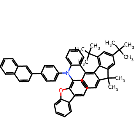 CC(C)(C)c1cc(C(C)(C)C)c2c(c1)C(C)(C)c1cccc(-c3ccccc3N(c3ccc(-c4ccc5ccccc5c4)cc3)c3cccc4c3oc3ccccc34)c1-2